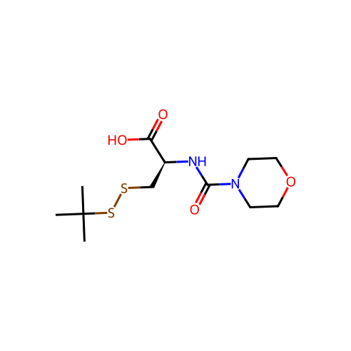 CC(C)(C)SSC[C@H](NC(=O)N1CCOCC1)C(=O)O